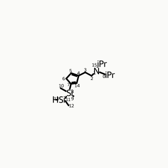 CC(C)N(CCC1=CCC([Si](C)(C)[SiH](C)C)=C1)C(C)C